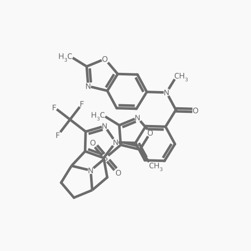 Cc1nc2ccc(N(C)C(=O)c3cccc(-n4nc(C(F)(F)F)c5c4CC4CCC5N4S(=O)(=O)c4c(C)noc4C)c3)cc2o1